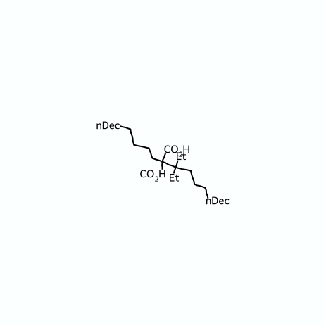 CCCCCCCCCCCCCCC(C(=O)O)(C(=O)O)C(CC)(CC)CCCCCCCCCCCCC